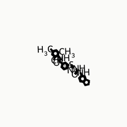 Cc1cc(C)c(NC(=O)c2ccc3nc(NC(=O)Nc4ccc5c(c4)CCC5)sc3c2)c(C)c1